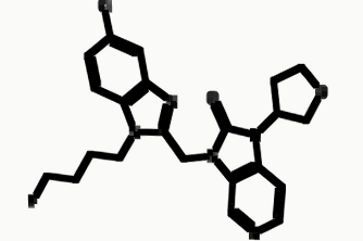 O=c1n(Cc2nc3cc(Cl)ccc3n2CCCCF)c2cnccc2n1C1CCOC1